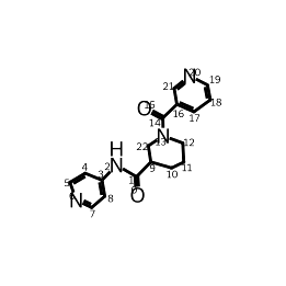 O=C(Nc1ccncc1)C1CCCN(C(=O)c2cccnc2)C1